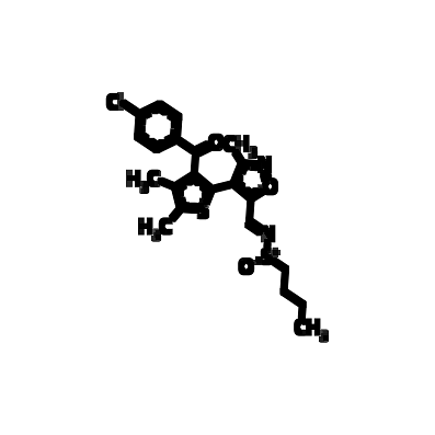 CCCC[S@@+]([O-])/N=C/c1onc(C)c1-c1sc(C)c(C)c1C(=O)c1ccc(Cl)cc1